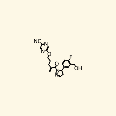 C=C(CCCOc1cnc(C#N)cn1)C(=O)N1N=CCC1c1ccc(F)c(CO)c1